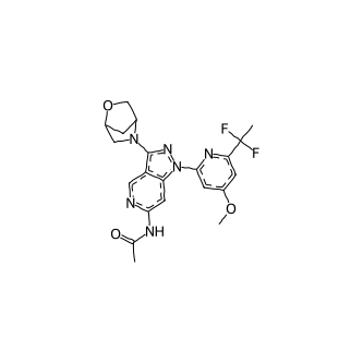 COc1cc(-n2nc(N3CC4CC3CO4)c3cnc(NC(C)=O)cc32)nc(C(C)(F)F)c1